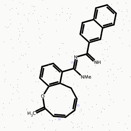 C=C1/C=C\C=C/Cc2c(cccc2/C(=N/C(=N)c2ccc3ccccc3c2)NC)O1